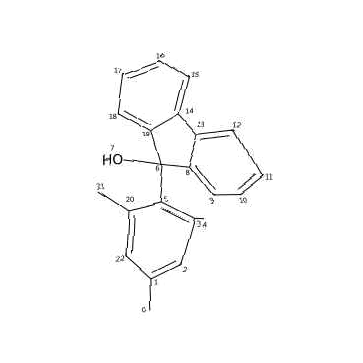 Cc1cc(C)c(C2(O)c3ccccc3-c3ccccc32)c(C)c1